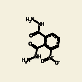 NNC(=O)c1cccc([N+](=O)[O-])c1C(=O)NN